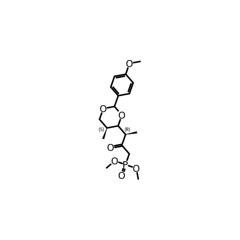 COc1ccc(C2OC[C@H](C)C([C@@H](C)C(=O)CP(=O)(OC)OC)O2)cc1